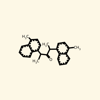 Cc1ccc(C(C)C(=O)C(C)c2ccc(C)c3ccccc23)c2ccccc12